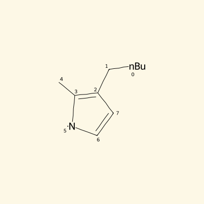 CCCCCC1=C(C)[N]C=C1